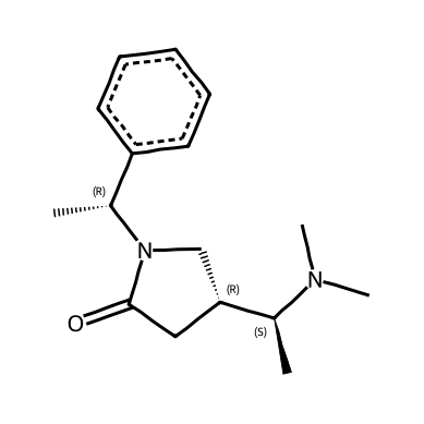 C[C@H](c1ccccc1)N1C[C@H]([C@H](C)N(C)C)CC1=O